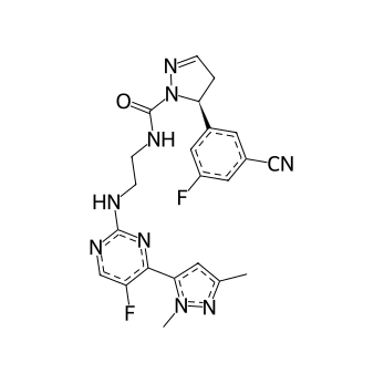 Cc1cc(-c2nc(NCCNC(=O)N3N=CC[C@H]3c3cc(F)cc(C#N)c3)ncc2F)n(C)n1